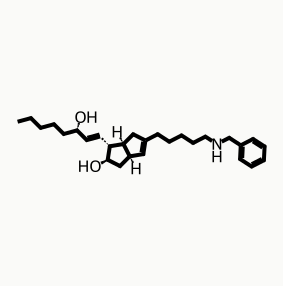 CCCCC[C@H](O)/C=C/[C@@H]1[C@H]2CC(CCCCCNCc3ccccc3)=C[C@H]2C[C@H]1O